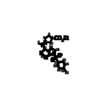 CCOC(=O)C1CCN(N(C)c2ncnc3c2ccn3S(=O)(=O)c2ccc(C)cc2)C1